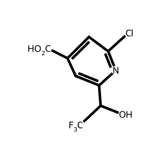 O=C(O)c1cc(Cl)nc(C(O)C(F)(F)F)c1